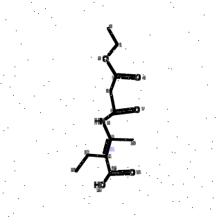 CCOC(=O)CC(=O)N/C(C)=C(\CC)C(=O)O